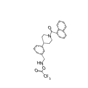 O=C(c1cccc2ccccc12)N1CCC(c2cccc(CNOC(=O)C(F)(F)F)c2)CC1